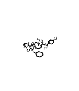 O=C(Nc1nccs1)[C@H](CC1CCCCC1)N1CCN(C(S)Nc2ccc(Cl)cc2)CC1=O